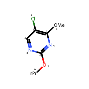 CCCOc1ncc(Cl)c(OC)n1